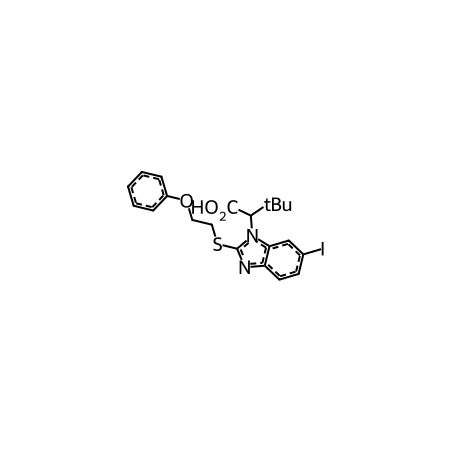 CC(C)(C)C(C(=O)O)n1c(SCCOc2ccccc2)nc2ccc(I)cc21